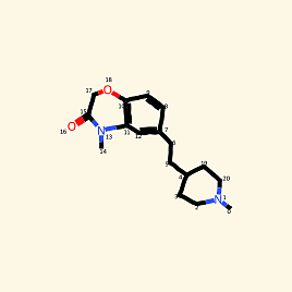 CN1CCC(CCc2ccc3c(c2)N(C)C(=O)CO3)CC1